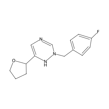 Fc1ccc(CN2C=NC=C(C3CCCO3)N2)cc1